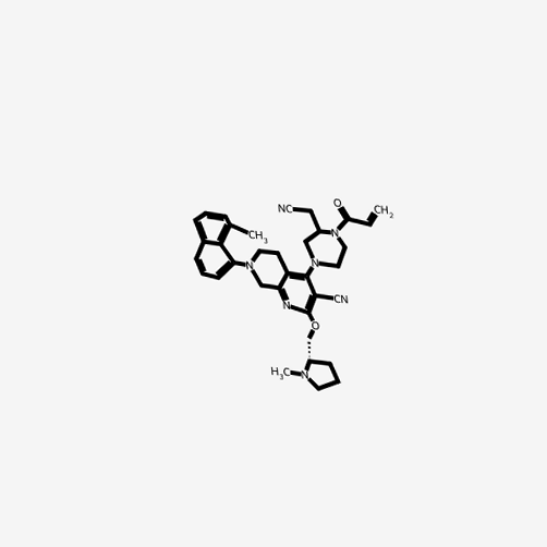 C=CC(=O)N1CCN(c2c(C#N)c(OC[C@@H]3CCCN3C)nc3c2CCN(c2cccc4cccc(C)c24)C3)CC1CC#N